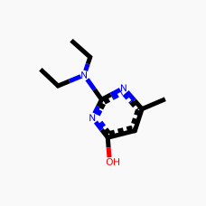 CCN(CC)c1nc(C)cc(O)n1